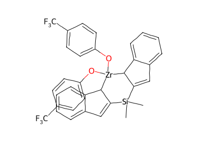 C[Si]1(C)C2=Cc3ccccc3[CH]2[Zr]([O]c2ccc(C(F)(F)F)cc2)([O]c2ccc(C(F)(F)F)cc2)[CH]2C1=Cc1ccccc12